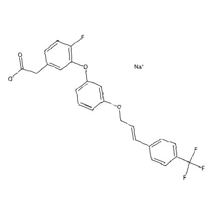 O=C([O-])Cc1ccc(F)c(Oc2cccc(OC/C=C/c3ccc(C(F)(F)F)cc3)c2)c1.[Na+]